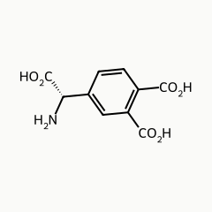 N[C@H](C(=O)O)c1ccc(C(=O)O)c(C(=O)O)c1